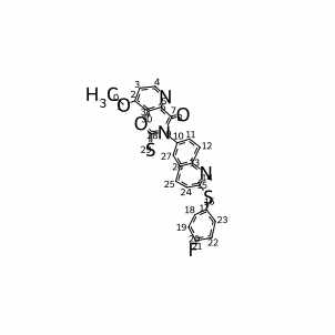 COc1ccnc2c(=O)n(-c3ccc4nc(Sc5ccc(F)cc5)ccc4c3)c(=S)oc12